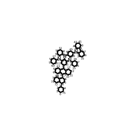 c1ccc(-c2ccc(-c3c4ccccc4c(-c4cc5c6c(c4)N(c4ccccc4)c4cc(-n7c8ccccc8c8ccccc87)ccc4B6c4ccccc4N5c4ccccc4)c4ccccc34)c3ccccc23)cc1